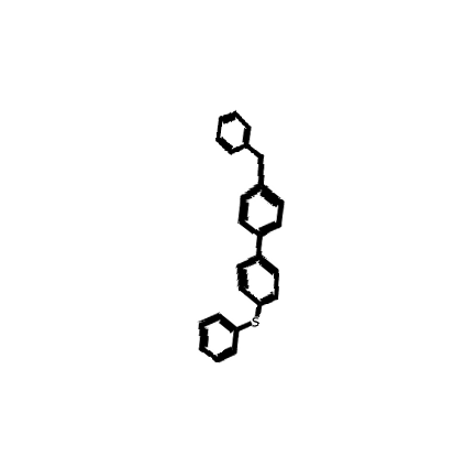 c1ccc(Cc2ccc(-c3ccc(Sc4ccccc4)cc3)cc2)cc1